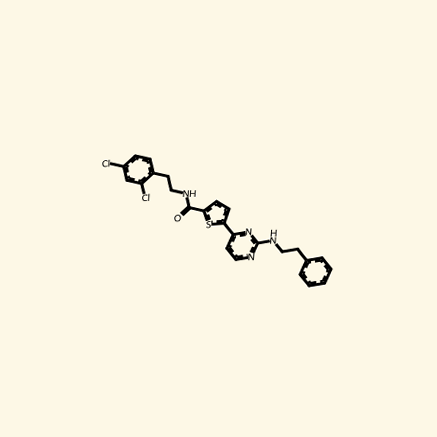 O=C(NCCc1ccc(Cl)cc1Cl)c1ccc(-c2ccnc(NCCc3ccccc3)n2)s1